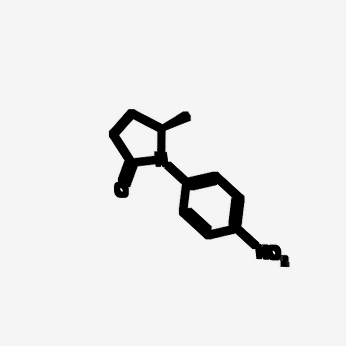 C[C@@H]1CCC(=O)N1c1ccc([N+](=O)[O-])cc1